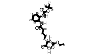 CCOC(=O)N[C@@H](CCCCC(=O)Nc1ccccc1NC(=O)OC(C)(C)C)C(=O)O